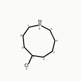 ClC1CCCCPCCC1